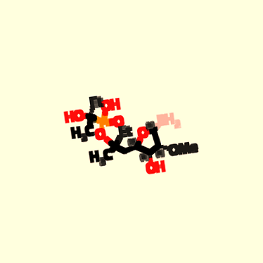 B[C@@H]1O[C@H](CC(C)(CC)OP(=O)(O)[C@@](C)(O)CC)[C@@H](O)[C@H]1OC